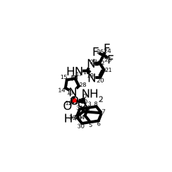 NC(=O)[C@]12CC3CC(C1)C(OC(=O)N1CC[C@@H](Nc4nccc(C(F)(F)F)n4)C1)[C@@H](C3)C2